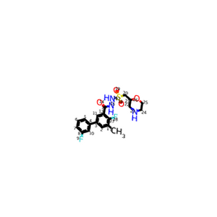 Cc1cc(-c2cccc(F)c2)cc(C(=O)NNS(=O)(=O)CC2CNCCO2)c1F